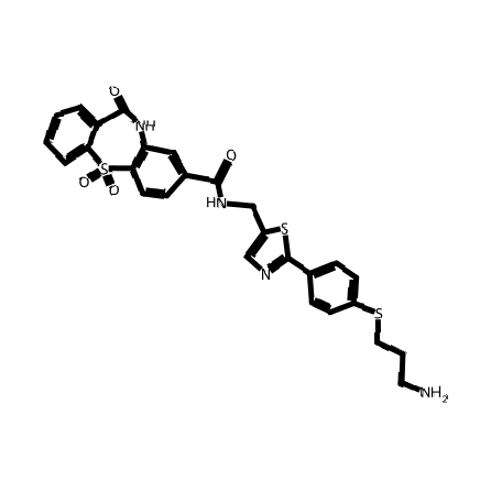 NCCCSc1ccc(-c2ncc(CNC(=O)c3ccc4c(c3)NC(=O)c3ccccc3S4(=O)=O)s2)cc1